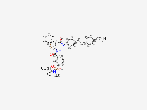 CCN(C1(C(=O)O)CC1)S(=O)(=O)c1cccc(C(=O)Nc2sc3c(c2C(=O)Nc2ccc(CCc4ccc(C(=O)O)cc4)cc2)CCCC3)c1